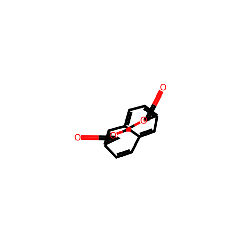 O=C1OCCOC(=O)c2ccc3cc1ccc3c2